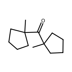 CC1(C(=O)C2(C)CCCC2)CCCC1